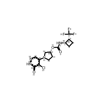 O=C(N[C@@H]1CC[C@H]1C(F)(F)F)O[C@@H]1CCN(c2cn[nH]c(=O)c2Cl)C1